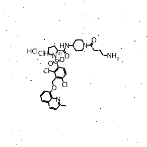 Cc1ccc2cccc(OCc3c(Cl)ccc(S(=O)(=O)N4CCC[C@H]4C(=O)NC4CCN(C(=O)CCCN)CC4)c3Cl)c2n1.Cl.Cl